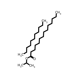 CCCCCCCCCCC.CCCCCCCCCCCCCC(=O)OC(C)C